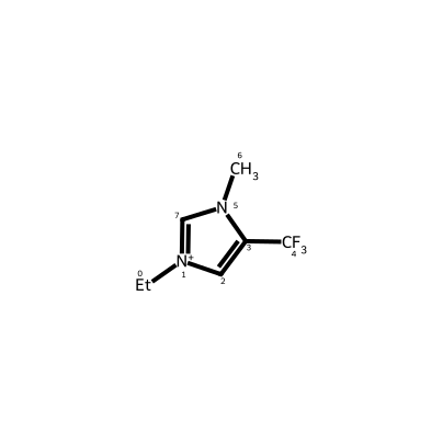 CC[n+]1cc(C(F)(F)F)n(C)c1